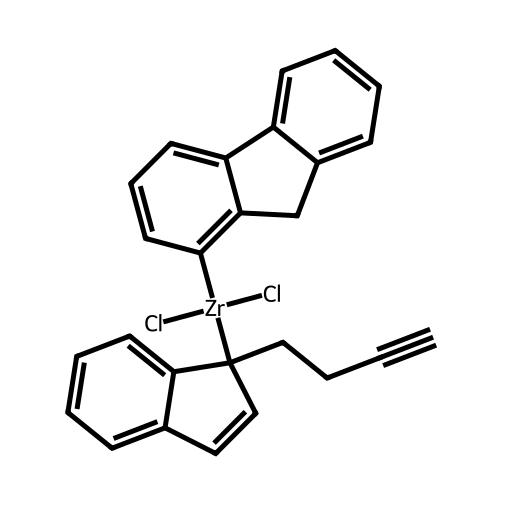 C#CCC[C]1([Zr]([Cl])([Cl])[c]2cccc3c2Cc2ccccc2-3)C=Cc2ccccc21